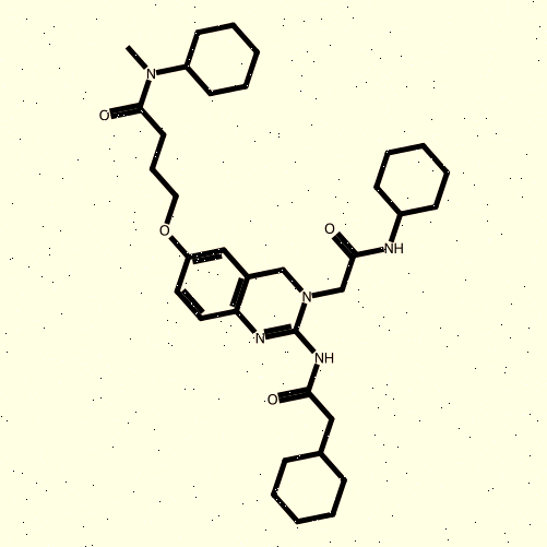 CN(C(=O)CCCOc1ccc2c(c1)CN(CC(=O)NC1CCCCC1)C(NC(=O)CC1CCCCC1)=N2)C1CCCCC1